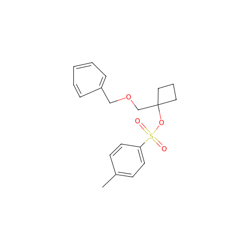 Cc1ccc(S(=O)(=O)OC2(COCc3ccccc3)CCC2)cc1